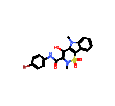 CN1C(C(=O)Nc2ccc(Br)cc2)=C(O)c2c(c3ccccc3n2C)S1(=O)=O